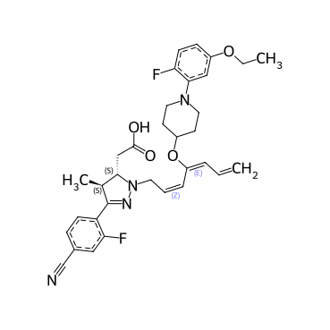 C=C/C=C(\C=C/CN1N=C(c2ccc(C#N)cc2F)[C@@H](C)[C@@H]1CC(=O)O)OC1CCN(c2cc(OCC)ccc2F)CC1